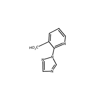 O=C(O)c1cccnc1-n1cncn1